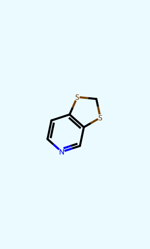 c1cc2c(cn1)SCS2